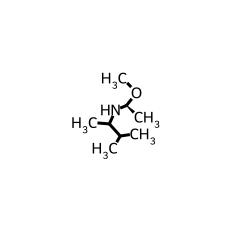 CO[C@@H](C)NC(C)C(C)C